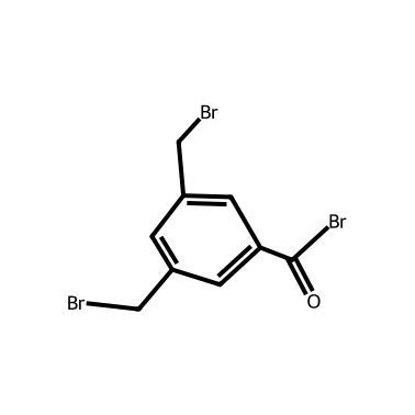 O=C(Br)c1cc(CBr)cc(CBr)c1